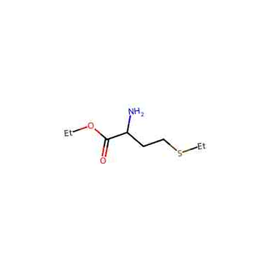 CCOC(=O)C(N)CCSCC